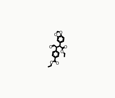 CCOC(=O)c1ccc(C(C=O)C(C(=O)OCC)c2ccc3c(c2)OCO3)cc1